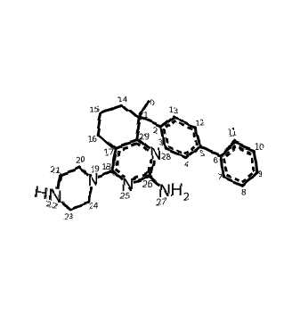 CC1(c2ccc(-c3ccccc3)cc2)CCCc2c(N3CCNCC3)nc(N)nc21